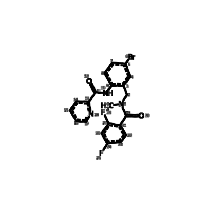 CN(Cc1cc(Br)ccc1NC(=O)c1ccccn1)C(=O)c1ccc(F)cc1F